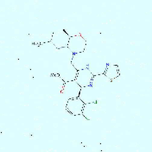 COC(=O)C1=C(CN2CCO[C@H](C)[C@H]2CC(C)C(=O)O)NC(c2nccs2)=N[C@H]1c1cccc(F)c1Cl